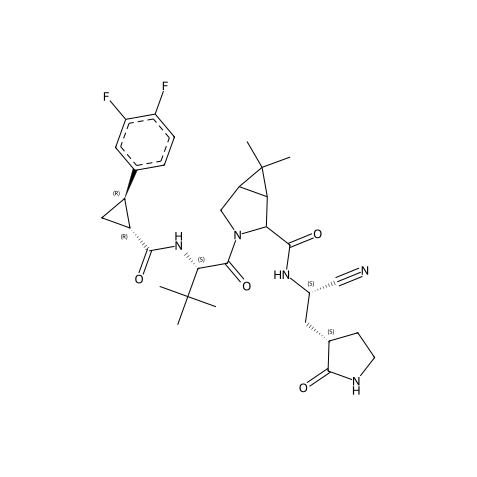 CC1(C)C2CN(C(=O)[C@@H](NC(=O)[C@@H]3C[C@H]3c3ccc(F)c(F)c3)C(C)(C)C)C(C(=O)N[C@H](C#N)C[C@@H]3CCNC3=O)C21